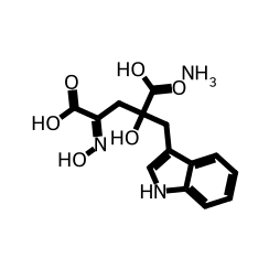 N.O=C(O)C(CC(O)(Cc1c[nH]c2ccccc12)C(=O)O)=NO